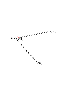 C=C(CCCCCCCCCCCCCCCCCCCCCCCCCC)OC(=C)CCCCCCCCCCCCCCCCCCCCCCCCCC